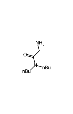 CCCCN(CCCC)C(=O)CN